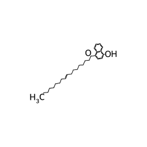 CCCCCCCCC=CCCCCCCCC(=O)c1ccc(O)c2ccccc12